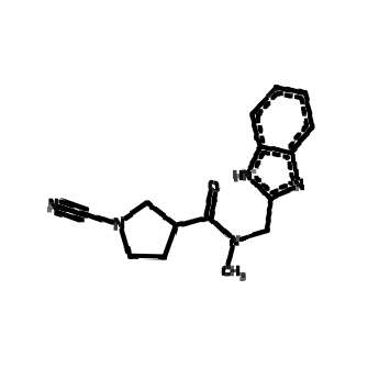 CN(Cc1nc2ccccc2[nH]1)C(=O)C1CCN(C#N)C1